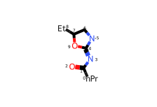 CCCC(=O)N=C1[N]CC(CC)O1